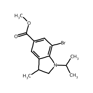 COC(=O)c1cc(Br)c2c(c1)C(C)CN2C(C)C